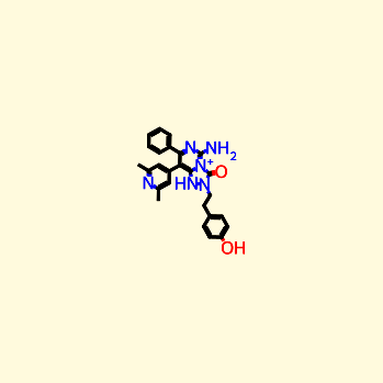 Cc1cc(-c2c(-c3ccccc3)nc(N)[n+]3c(=O)n(CCc4ccc(O)cc4)[nH]c23)cc(C)n1